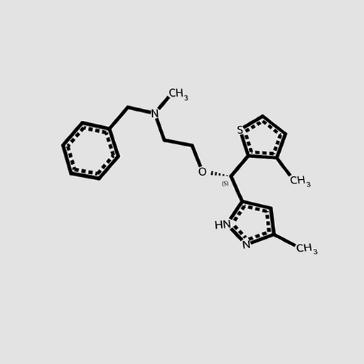 Cc1cc([C@H](OCCN(C)Cc2ccccc2)c2sccc2C)[nH]n1